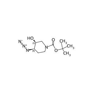 CC(C)(C)OC(=O)N1CC[C@@H](N=[N+]=[N-])[C@@H](O)C1